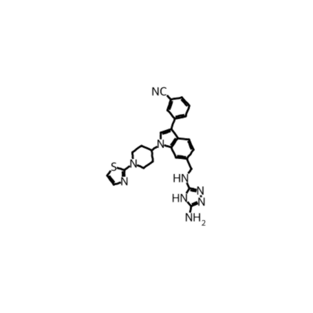 N#Cc1cccc(-c2cn(C3CCN(c4nccs4)CC3)c3cc(CNc4nnc(N)[nH]4)ccc23)c1